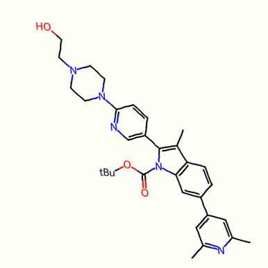 Cc1cc(-c2ccc3c(C)c(-c4ccc(N5CCN(CCO)CC5)nc4)n(C(=O)OC(C)(C)C)c3c2)cc(C)n1